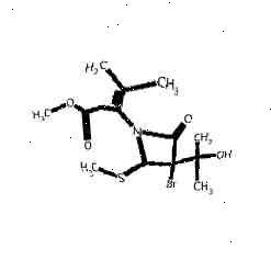 COC(=O)C(=C(C)C)N1C(=O)C(Br)(C(C)(C)O)C1SC